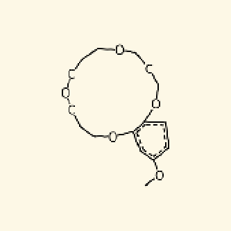 COc1ccc2c(c1)OCCCOCCCOCCCO2